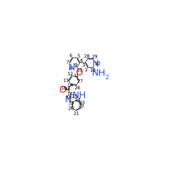 Nc1cc(-c2cccnc2Oc2ccc(C(=O)c3nc4ccccc4[nH]3)cc2)ccn1